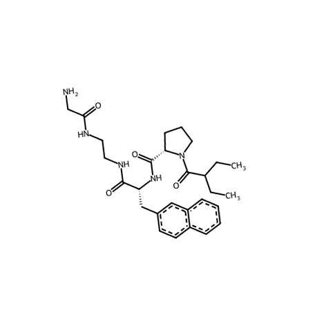 CCC(CC)C(=O)N1CCC[C@H]1C(=O)N[C@H](Cc1ccc2ccccc2c1)C(=O)NCCNC(=O)CN